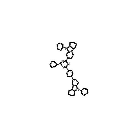 c1ccc(-c2nc(-c3ccc(-c4ccc5c(c4)c4ccccc4n5-c4ccccc4)cc3)nc(-c3ccc4c5ccccc5n(-c5ccccc5)c4c3)n2)cc1